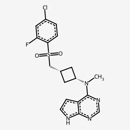 CN(c1ncnc2[nH]ccc12)[C@H]1C[C@@H](CS(=O)(=O)c2ccc(Cl)cc2F)C1